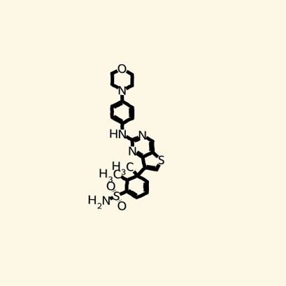 CC1C(S(N)(=O)=O)=CC=CC1(C)c1csc2cnc(Nc3ccc(N4CCOCC4)cc3)nc12